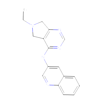 CCC(C)CN1Cc2ncnc(Nc3cnc4ccccc4c3)c2C1